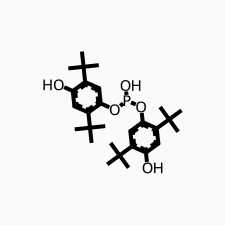 CC(C)(C)c1cc(OP(O)Oc2cc(C(C)(C)C)c(O)cc2C(C)(C)C)c(C(C)(C)C)cc1O